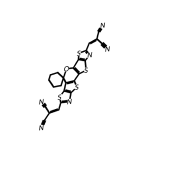 N#CC(C#N)=Cc1nc2sc3c(c2s1)OC1(CCCCC1)c1c-3sc2nc(C=C(C#N)C#N)sc12